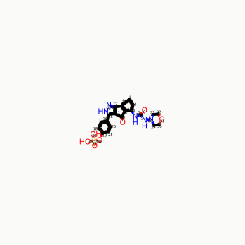 O=C(Nc1cccc2c1C(=O)c1c-2n[nH]c1-c1ccc(OP(=O)(O)O)cc1)NN1CCOCC1